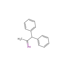 CC(=P)C(c1ccccc1)c1ccccc1